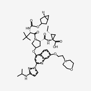 CC[C@@H]1C[C@]1(NC(=O)[C@@H]1C[C@@H](Oc2cc(-n3ccc(NC(C)C)n3)nc3cc(OCCN4CCOCC4)ccc23)CN1C(=O)[C@@H](NC(=O)OC1CC2C[C@H]2C1)C(C)(C)C)C(=O)O